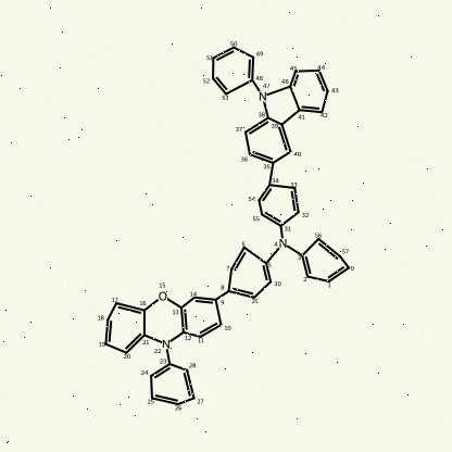 c1ccc(N(c2ccc(-c3ccc4c(c3)Oc3ccccc3N4c3ccccc3)cc2)c2ccc(-c3ccc4c(c3)c3ccccc3n4-c3ccccc3)cc2)cc1